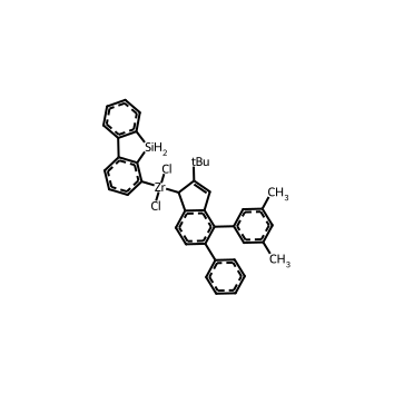 Cc1cc(C)cc(-c2c(-c3ccccc3)ccc3c2C=C(C(C)(C)C)[CH]3[Zr]([Cl])([Cl])[c]2cccc3c2[SiH2]c2ccccc2-3)c1